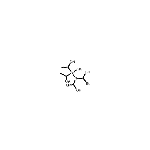 CCC[N+](C(C)O)(C(C)O)N(C(O)CC)C(O)CC